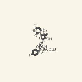 CCOC(=O)[C@H](C)NP(=O)(OC[C@H]1O[C@@H](n2ccc(=O)[nH]c2=O)[C@](C)(F)[C@@H]1O)Oc1ccc(F)cc1